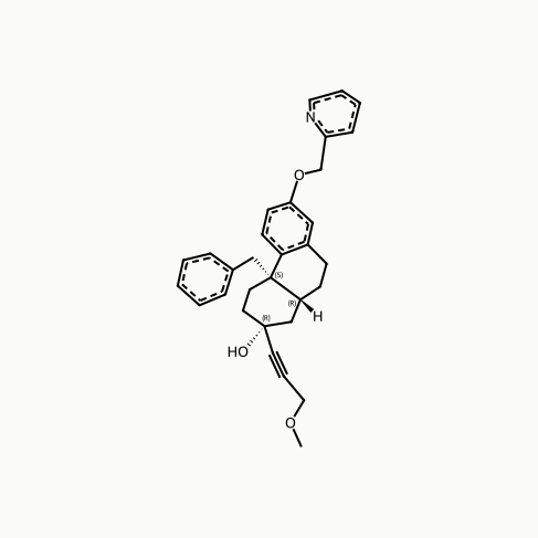 COCC#C[C@@]1(O)CC[C@@]2(Cc3ccccc3)c3ccc(OCc4ccccn4)cc3CC[C@@H]2C1